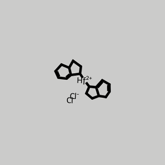 C1=CCC2CC[CH]([Hf+2][CH]3CCC4CC=CC=C43)C2=C1.[Cl-].[Cl-]